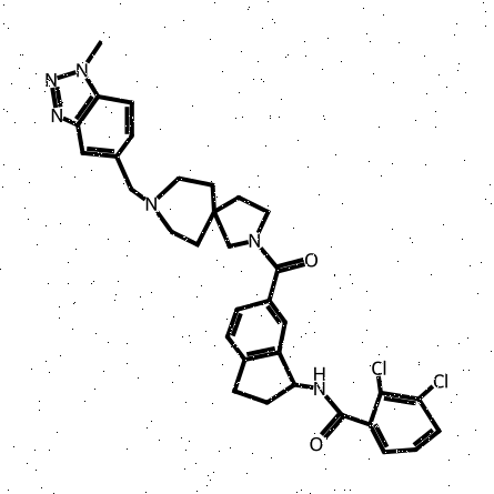 Cn1nnc2cc(CN3CCC4(CC3)CCN(C(=O)c3ccc5c(c3)C(NC(=O)c3cccc(Cl)c3Cl)CC5)C4)ccc21